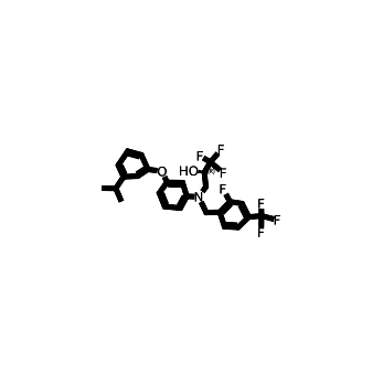 CC(C)c1cccc(Oc2cccc(N(Cc3ccc(C(F)(F)F)cc3F)C[C@@H](O)C(F)(F)F)c2)c1